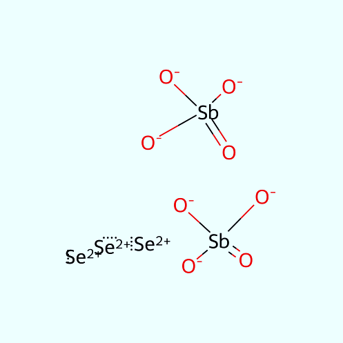 [O]=[Sb]([O-])([O-])[O-].[O]=[Sb]([O-])([O-])[O-].[Se+2].[Se+2].[Se+2]